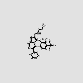 Cc1c(Cc2c(CNCCO)nc3cnc(N4CCOCC4)cn23)cccc1C(F)(F)F